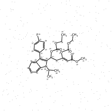 CCOC(=O)O/C(=C\C(=O)OC)CC(OC(=O)OCC)c1c(-c2ccc(F)cc2)c2ccccc2n1C(C)C